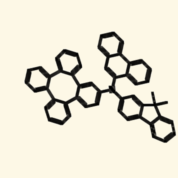 CC1(C)c2ccccc2-c2ccc(N(c3ccc4c(c3)-c3ccccc3-c3ccccc3-c3ccccc3-4)c3cc4ccccc4c4ccccc34)cc21